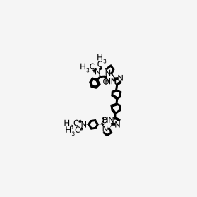 CCN(CC)[C@@H](C(=O)N1CCC[C@H]1c1ncc(C2=CC=C(C3=CC=C(c4cnc([C@@H]5CCCN5C(=O)[C@H]5CC[C@@H](N(CC)CC)CC5)[nH]4)CC3)CC2)[nH]1)c1ccccc1